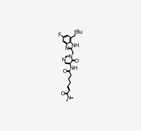 CN(C)C(=O)/C=C/CCCC(=O)Nc1cncn(Cc2nc3cc(F)cc(CC(C)(C)C)c3[nH]2)c1=O